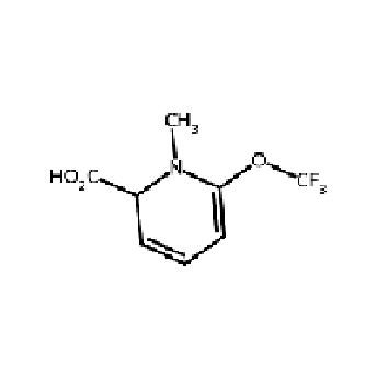 CN1C(OC(F)(F)F)=CC=CC1C(=O)O